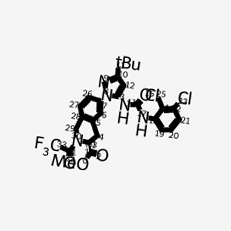 COC(=O)[C@@H]1Cc2cc(-n3nc(C(C)(C)C)cc3NC(=O)Nc3cccc(Cl)c3Cl)ccc2CN1C(=O)C(F)(F)F